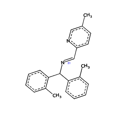 Cc1ccc(/C=N/C(c2ccccc2C)c2ccccc2C)nc1